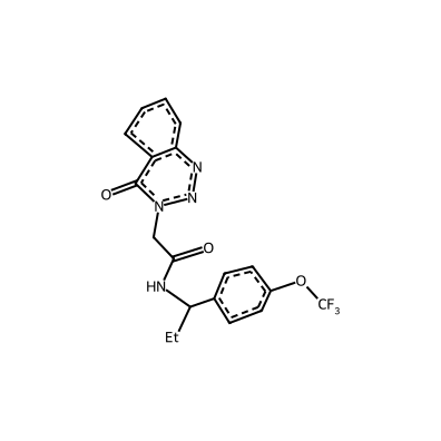 CCC(NC(=O)Cn1nnc2ccccc2c1=O)c1ccc(OC(F)(F)F)cc1